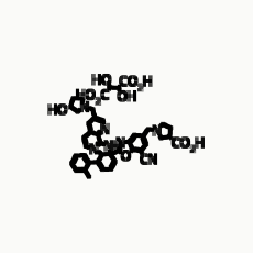 Cc1ccccc1C1=CC=CC(Nc2nccc3cc(CN4CC[C@@H](O)C4)cnc23)(c2nc3cc(CN4CC[C@@H](C(=O)O)C4)cc(C#N)c3o2)C1C.O=C(O)C(O)C(O)C(=O)O